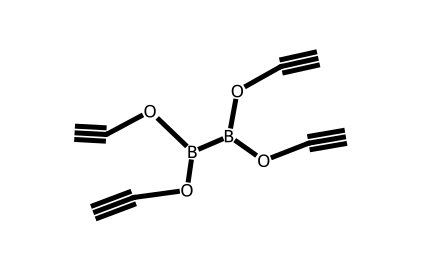 C#COB(OC#C)B(OC#C)OC#C